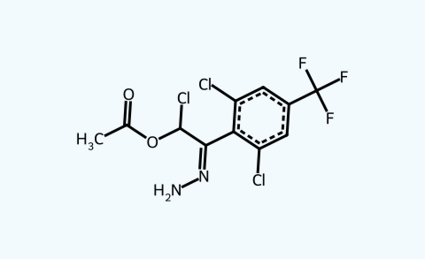 CC(=O)OC(Cl)C(=NN)c1c(Cl)cc(C(F)(F)F)cc1Cl